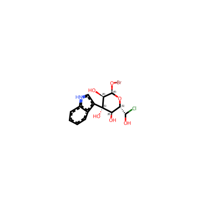 OC(Cl)[C@H]1O[C@H](OBr)[C@H](O)[C@](O)(c2c[nH]c3ccccc23)[C@@H]1O